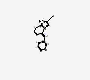 Cc1cc2c([nH]1)CCC/C2=C\c1ccccc1